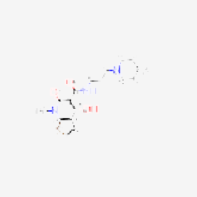 CC(C)n1c(=O)c(C(=O)NCCCN2CCC(C(F)(F)F)CC2)c(O)c2ccsc21